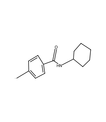 [CH2]c1ccc(C(=O)NC2CCCCC2)cc1